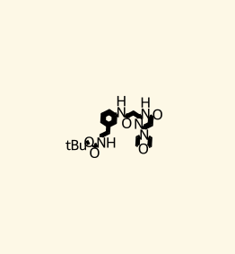 CC(C)(C)OC(=O)NCCc1cccc(NC(=O)Cc2nc(N3CCOCC3)cc(=O)[nH]2)c1